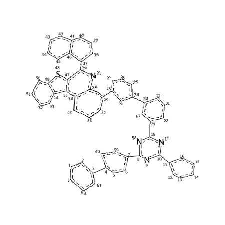 c1ccc(-c2ccc(-c3nc(-c4ccccc4)nc(-c4cccc(-c5cccc(-c6cccc7c6nc(-c6cccc8ccccc68)c6sc8ccccc8c67)c5)c4)n3)cc2)cc1